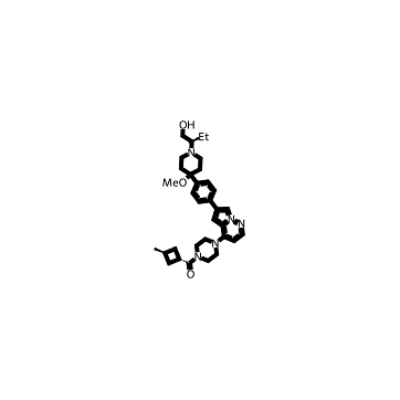 CC[C@H](CO)N1CCC(OC)(c2ccc(-c3cc4c(N5CCN(C(=O)[C@H]6C[C@H](C)C6)CC5)ccnn4c3)cc2)CC1